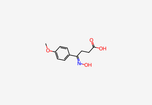 COc1ccc(/C(CCC(=O)O)=N/O)cc1